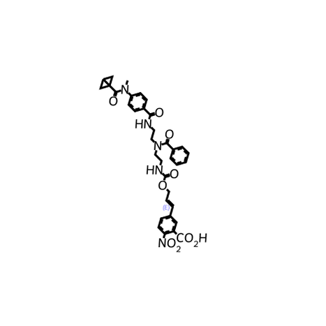 CN(C(=O)C12CC1C2)c1ccc(C(=O)NCCN(CCNC(=O)OC/C=C/c2ccc([N+](=O)[O-])c(C(=O)O)c2)C(=O)c2ccccc2)cc1